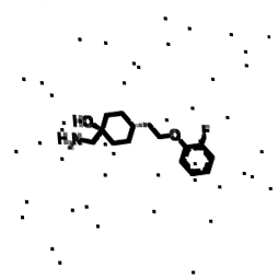 NC[C@]1(O)CC[C@H](CCOc2ccccc2F)CC1